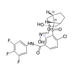 O=C(Nc1cc(F)c(F)c(F)c1)c1ccc(Cl)c(S(=O)(=O)[C@H]2C3CC[C@H]2C[C@](O)(/C=N/O)C3)c1